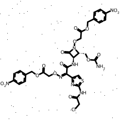 NC(=O)OC[C@@H]1[C@@H](NC(=O)/C(=N\OCC(=O)OCc2ccc([N+](=O)[O-])cc2)c2csc(NC(=O)CCl)n2)C(=O)N1OCC(=O)OCc1ccc([N+](=O)[O-])cc1